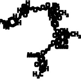 COc1cc2c(cc1OCCCCCOc1cc3c(cc1OC)C(=O)N1C=C(C)C[C@H]1[C@H](O)N3C(=O)OCc1ccc(NC(=O)[C@H](C)NC(=O)[C@@H](NC(=O)COCCOCCNS(=O)(=O)NC(=O)CC[C@H]3[C@H]4CCc5nnn(C(C)C)c5CC[C@@H]34)C(C)C)cc1)N=C[C@@H]1CC(C)=CN1C2=O